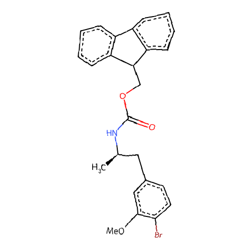 COc1cc(C[C@@H](C)NC(=O)OCC2c3ccccc3-c3ccccc32)ccc1Br